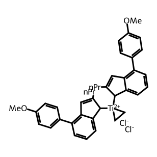 CCCC1=Cc2c(-c3ccc(OC)cc3)cccc2[CH]1[Ti+2]1([CH]2C(CCC)=Cc3c(-c4ccc(OC)cc4)cccc32)[CH2][CH2]1.[Cl-].[Cl-]